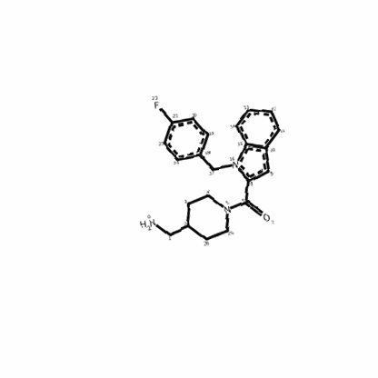 NCC1CCN(C(=O)c2cc3ccccc3n2Cc2ccc(F)cc2)CC1